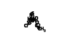 CN1CCc2ccc(NC(=O)C(Cc3nccs3)NC(=O)Oc3ccc(Cl)s3)cc2CC1